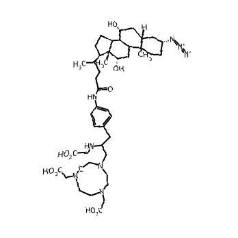 CC(CCC(=O)Nc1ccc(CC(CN2CCN(CC(=O)O)CCN(CC(=O)O)CC2)NCC(=O)O)cc1)[C@H]1CCC2C3C(C[C@H](O)[C@@]21C)[C@@]1(C)CC[C@@H](N=[N+]=[N-])C[C@H]1C[C@H]3O